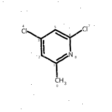 Cc1cc(Cl)cc(Cl)n1